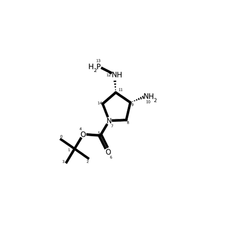 CC(C)(C)OC(=O)N1C[C@@H](N)[C@@H](NP)C1